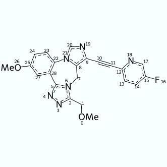 COCc1nnc2n1Cc1c(C#Cc3ccc(F)cn3)ncn1-c1ccc(OC)cc1-2